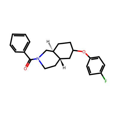 O=C(c1ccccc1)N1CC[C@H]2CC(Oc3ccc(F)cc3)CC[C@@H]2C1